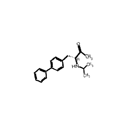 CC(=O)[C@@H](Cc1ccc(-c2ccccc2)cc1)NC(C)C